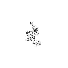 C=N[C@@H]1C[C@H](C(=O)NCc2ccc(C(F)(F)F)cc2)N(C(=O)[C@H]2CCCN(S(=O)(=O)N3CC(C#N)C3)C2)C1